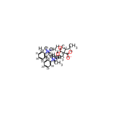 CCC(C)C(CC)(C(=O)[O-])C(=O)[O-].C[N+](C)(C)c1ccccc1.C[N+](C)(C)c1ccccc1